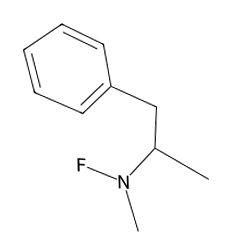 CC(Cc1ccccc1)N(C)F